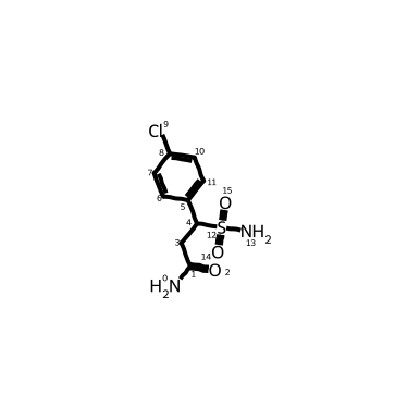 NC(=O)CC(c1ccc(Cl)cc1)S(N)(=O)=O